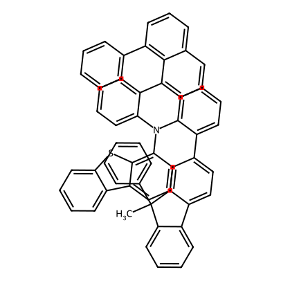 CC1(c2ccccc2)c2ccccc2-c2ccc(-c3ccccc3N(c3ccccc3-c3cccc4cccc(-c5ccccc5)c34)c3cccc4c3sc3ccccc34)cc21